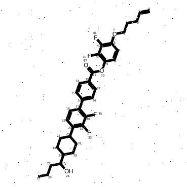 C=CCCCOc1ccc(OC(=O)c2ccc(-c3ccc(C4CCC(C(O)CCC)CC4)c(F)c3F)cc2)c(F)c1F